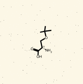 CC(C)(C)OC[C@H](N)C(=O)O